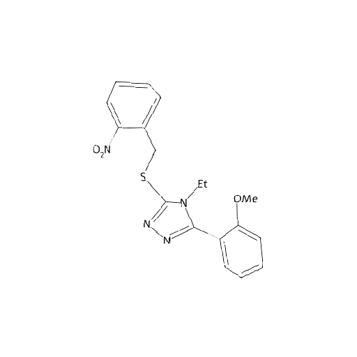 CCn1c(SCc2ccccc2[N+](=O)[O-])nnc1-c1ccccc1OC